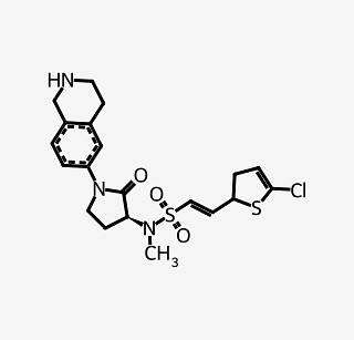 CN([C@H]1CCN(c2ccc3c(c2)CCNC3)C1=O)S(=O)(=O)/C=C/C1CC=C(Cl)S1